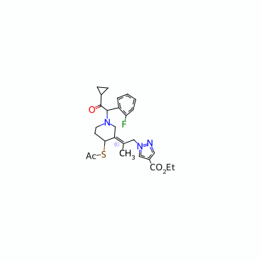 CCOC(=O)c1cnn(C/C(C)=C2\CN(C(C(=O)C3CC3)c3ccccc3F)CCC2SC(C)=O)c1